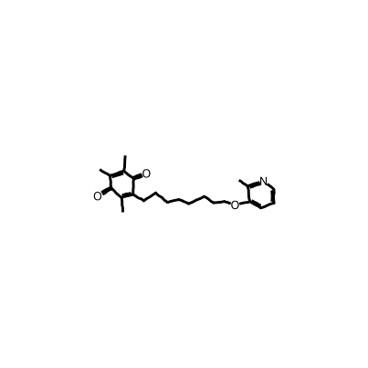 CC1=C(C)C(=O)C(CCCCCCCCOc2cccnc2C)=C(C)C1=O